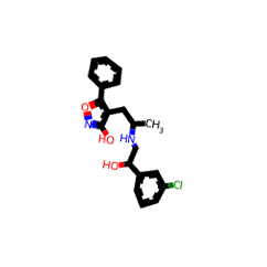 CC(Cc1c(O)noc1-c1ccccc1)NCC(O)c1cccc(Cl)c1